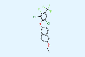 CCOc1ccc2cc(Oc3c(Cl)cc(C(F)(F)F)c(F)c3Cl)ccc2c1